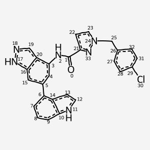 O=C(Nc1cc(-c2cccc3[nH]ccc23)cc2[nH]ncc12)c1ccn(Cc2ccc(Cl)cc2)n1